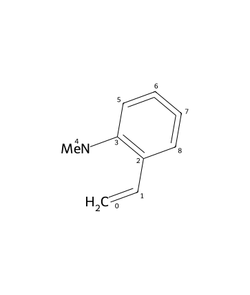 C=CC1=C(NC)C=C=C=C1